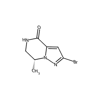 C[C@@H]1CNC(=O)c2cc(Br)nn21